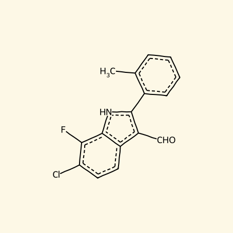 Cc1ccccc1-c1[nH]c2c(F)c(Cl)ccc2c1C=O